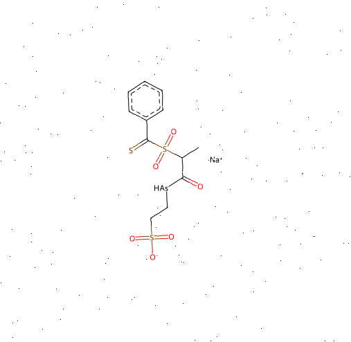 CC(C(=O)[AsH]CCS(=O)(=O)[O-])S(=O)(=O)C(=S)c1ccccc1.[Na+]